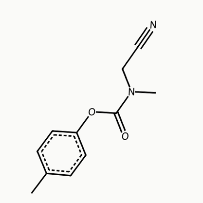 Cc1ccc(OC(=O)N(C)CC#N)cc1